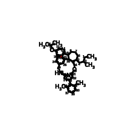 CCC(C)CC1CCCC(c2ncc(OC(C)C)cn2)C2c3cccc(c3)SNc3nc(cc(-c4c(C)cccc4C)n3)OCC12